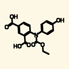 CCOC(=O)N(c1ccc(O)cc1)c1ccc(C(=O)O)cc1C(=O)O